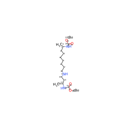 CC(CCCCCCCNCCC(C)NC(=O)OC(C)(C)C)NC(=O)OC(C)(C)C